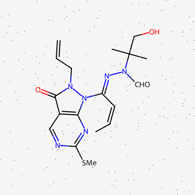 C=CCn1c(=O)c2cnc(SC)nc2n1C(/C=C\C)=N/N(C=O)C(C)(C)CO